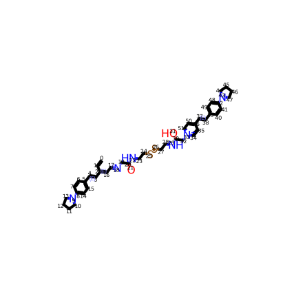 C=CC(/C=C/c1ccc(N2CCCC2)cc1)=C\C=N\CC(=O)NCCSSCCNC(O)C[n+]1ccc(/C=C/c2ccc(N3CCCC3)cc2)cc1